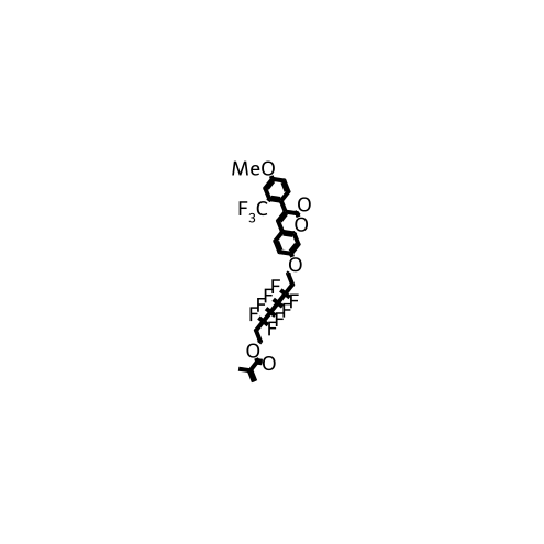 C=C(C)C(=O)OCCC(F)(F)C(F)(F)C(F)(F)C(F)(F)CCOc1ccc2cc(-c3ccc(OC)cc3C(F)(F)F)c(=O)oc2c1